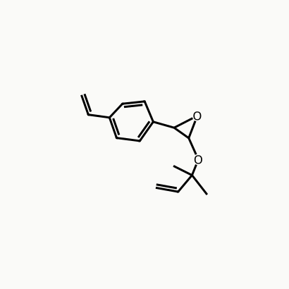 C=Cc1ccc(C2OC2OC(C)(C)C=C)cc1